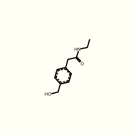 CCNC(=O)Cc1ccc(CO)cc1